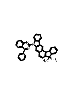 CC1(C)c2ccccc2-c2c1ccc1cc3c(cc21)c1ccccc1n3-c1nc(-c2ccccc2)c2ccccc2n1